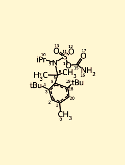 Cc1cc(C(C)(C)C)c(C(C)(C)N(C(C)C)S(=O)(=O)OC(N)=O)c(C(C)(C)C)c1